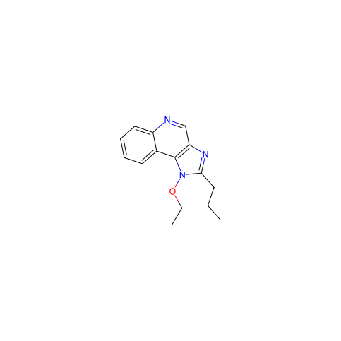 CCCc1nc2cnc3ccccc3c2n1OCC